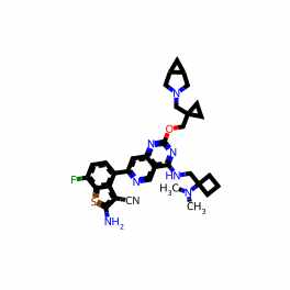 CN(C)C1(CNc2nc(OCC3(CN4CC5CC5C4)CC3)nc3cc(-c4ccc(F)c5sc(N)c(C#N)c45)ncc23)CCC1